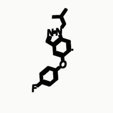 CC(C)Cn1ncc2cc(Oc3ccc(F)cc3)[c]cc21